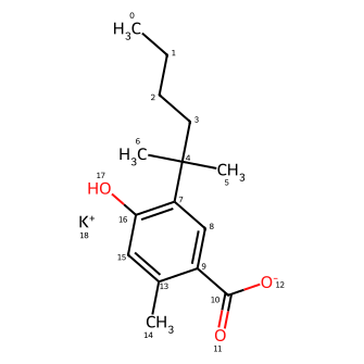 CCCCC(C)(C)c1cc(C(=O)[O-])c(C)cc1O.[K+]